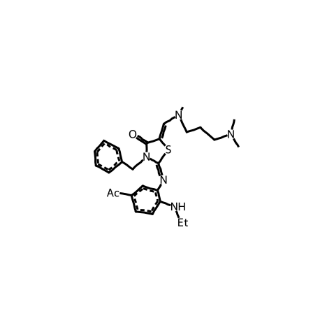 CCNc1ccc(C(C)=O)cc1/N=C1/S/C(=C\N(C)CCCN(C)C)C(=O)N1Cc1ccccc1